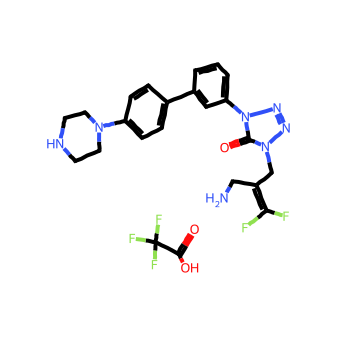 NCC(Cn1nnn(-c2cccc(-c3ccc(N4CCNCC4)cc3)c2)c1=O)=C(F)F.O=C(O)C(F)(F)F